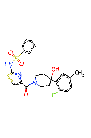 Cc1ccc(F)c(C2(O)CCN(C(=O)c3csc(NS(=O)(=O)c4ccccc4)n3)CC2)c1